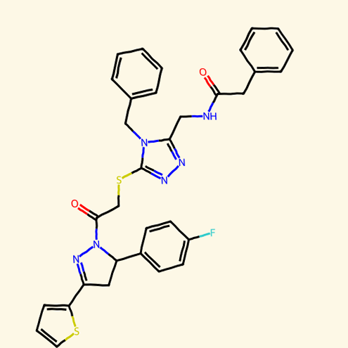 O=C(Cc1ccccc1)NCc1nnc(SCC(=O)N2N=C(c3cccs3)CC2c2ccc(F)cc2)n1Cc1ccccc1